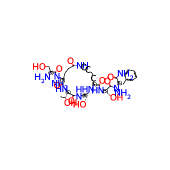 CC(O)[C@@H]1NC(=O)[C@@H](N(N)C(=O)[C@@H](N)CO)CCC(=O)NCCCC[C@@H](C(=O)N[C@@H](CO)C(=O)N(N)[C@@H](Cc2ccccc2)C(N)=O)NC[C@H](CO)NC1=O